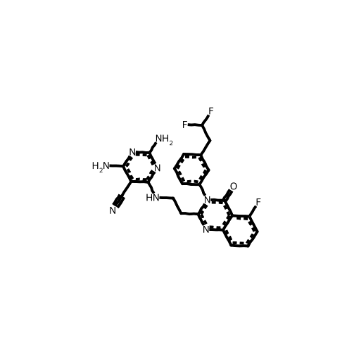 N#Cc1c(N)nc(N)nc1NCCc1nc2cccc(F)c2c(=O)n1-c1cccc(CC(F)F)c1